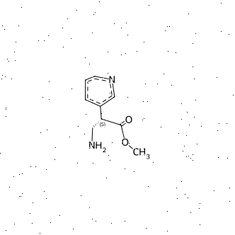 COC(=O)[C@H](CN)c1cccnc1